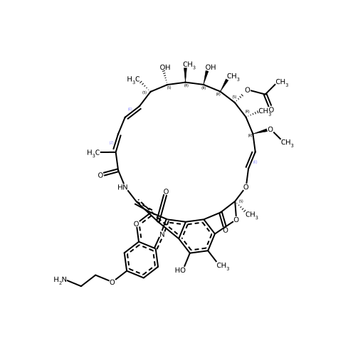 CO[C@H]1/C=C/O[C@@]2(C)Oc3c(C)c(O)c4c(=O)c(c5oc6cc(OCCN)ccc6nc-5c4c3C2=O)NC(=O)/C(C)=C\C=C\[C@H](C)[C@H](O)[C@@H](C)[C@@H](O)[C@@H](C)[C@H](OC(C)=O)[C@@H]1C